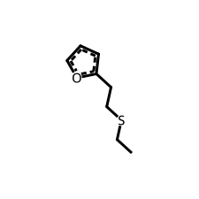 CCSCCc1ccco1